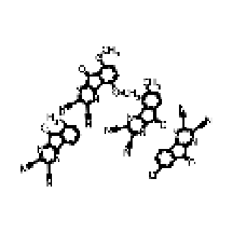 COc1ccc(OC)c2c1C(=O)c1nc(C#N)c(C#N)nc1-2.Cc1ccc2c(c1)-c1nc(C#N)c(C#N)nc1C2=O.Cc1cccc2c1C(=O)c1nc(C#N)c(C#N)nc1-2.N#Cc1nc2c(nc1C#N)-c1ccc(Cl)cc1C2=O